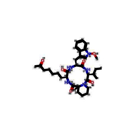 CCC(C)[C@@H]1NC(=O)[C@H](Cc2cn(OC)c3ccccc23)NC(=O)[C@H](CCCCCC(C)=O)NC(=O)[C@H]2CCCCN2C1=O